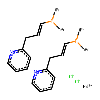 CC(C)P(C=CCc1ccccn1)C(C)C.CC(C)P(C=CCc1ccccn1)C(C)C.[Cl-].[Cl-].[Pd+2]